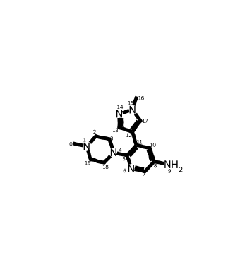 CN1CCN(c2ncc(N)cc2-c2cnn(C)c2)CC1